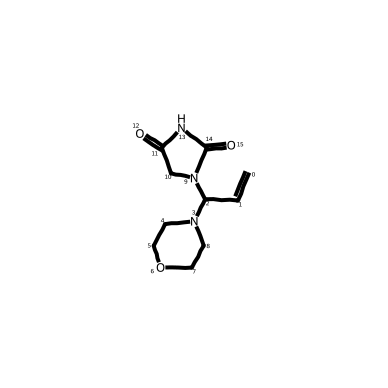 C=CC(N1CCOCC1)N1CC(=O)NC1=O